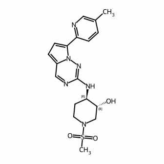 Cc1ccc(-c2ccc3cnc(N[C@@H]4CCN(S(C)(=O)=O)C[C@H]4O)nn23)nc1